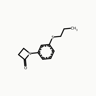 CCCSc1cccc(N2CCC2=O)c1